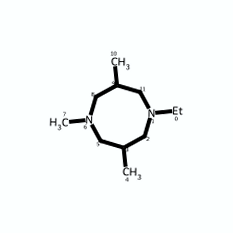 CCN1CC(C)CN(C)CC(C)C1